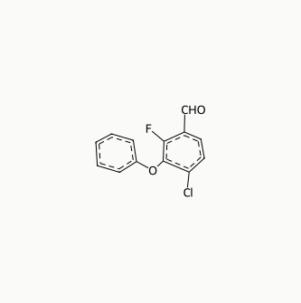 O=Cc1ccc(Cl)c(Oc2ccccc2)c1F